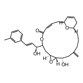 C=C1CCC[C@@H]2CC=C[C@@H](C/C=C\C(=O)OC([C@@H](O)/C=C/c3cccc(C)c3)C[C@@H]3O[C@H]3[C@@H](O)C1)O2